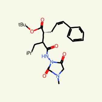 CC(C)CC(C(=O)NN1C(=O)CN(C)C1=O)[C@@H](C/C=C\c1ccccc1)C(=O)OC(C)(C)C